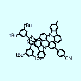 Cc1ccc2c(c1)c1ccccc1n2-c1ccc(-c2nc(-c3cc(C(C)(C)C)cc(C(C)(C)C)c3)nc(-c3cc(C(C)(C)C)cc(C(C)(C)C)c3)n2)cc1-c1ccc(-c2ccc(C#N)cc2)cc1-n1c2ccccc2c2cc(C)ccc21